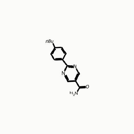 CCCCc1ccc(-c2ncc(C(N)=O)cn2)cc1